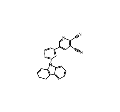 N#Cc1cc(-c2cccc(-n3c4c(c5ccccc53)CCC=C4)c2)cnc1C#N